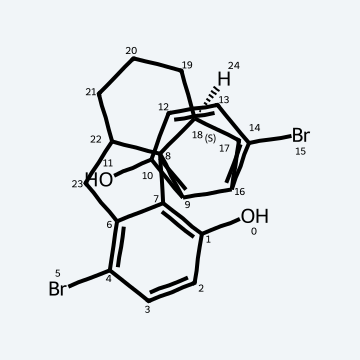 Oc1ccc(Br)c2c1C13c4c(O)ccc(Br)c4C[C@@H]1CCCC3C2